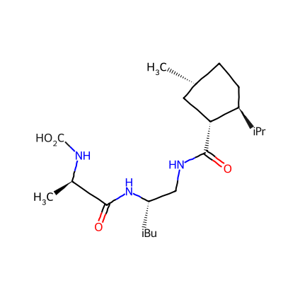 CCC(C)[C@@H](CNC(=O)[C@@H]1C[C@H](C)CC[C@H]1C(C)C)NC(=O)[C@@H](C)NC(=O)O